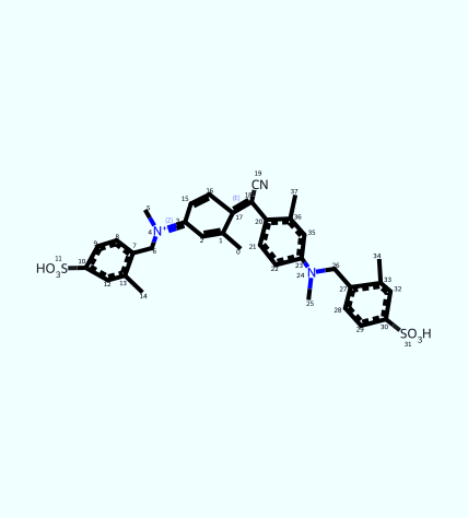 CC1=CC(=[N+](/C)Cc2ccc(S(=O)(=O)O)cc2C)/C=CC/1=C(\C#N)c1ccc(N(C)Cc2ccc(S(=O)(=O)O)cc2C)cc1C